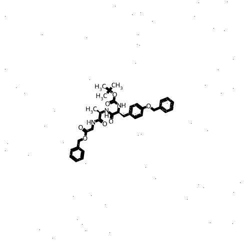 C[C@@H](NC(=O)[C@H](Cc1ccc(OCc2ccccc2)cc1)NC(=O)OC(C)(C)C)C(=O)NCC(=O)OCc1ccccc1